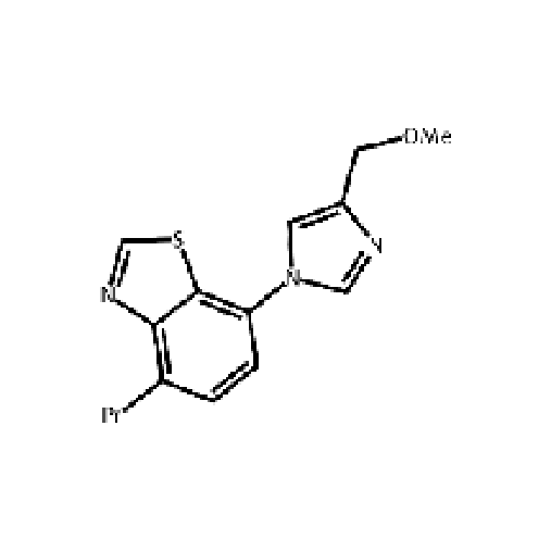 COCc1cn(-c2ccc(C(C)C)c3ncsc23)cn1